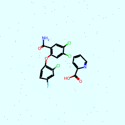 NC(=O)c1cc(Cl)c(Cl)cc1Oc1ccc(F)cc1Cl.O=C(O)c1ccccn1